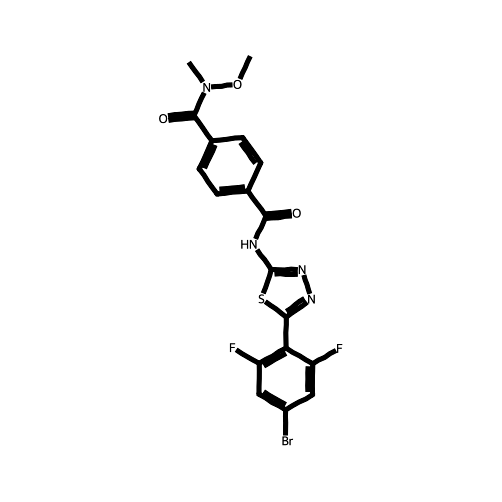 CON(C)C(=O)c1ccc(C(=O)Nc2nnc(-c3c(F)cc(Br)cc3F)s2)cc1